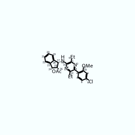 CCc1nc(-c2ccc(Cl)cc2OC)c(CC)nc1N[C@H]1c2ccccc2C[C@@H]1OC(C)=O